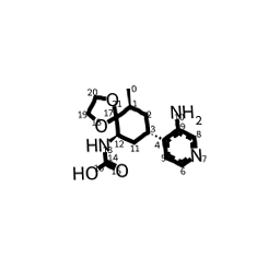 C[C@H]1C[C@H](c2ccncc2N)C[C@@H](NC(=O)O)C12OCCO2